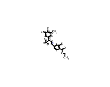 CCOC(=O)c1ccc(/C=C/C(c2cc(C)c(F)c(Cl)c2)C(F)(F)F)cc1F